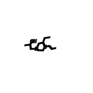 CCCN1CCN(CC(C)O)CC1CC